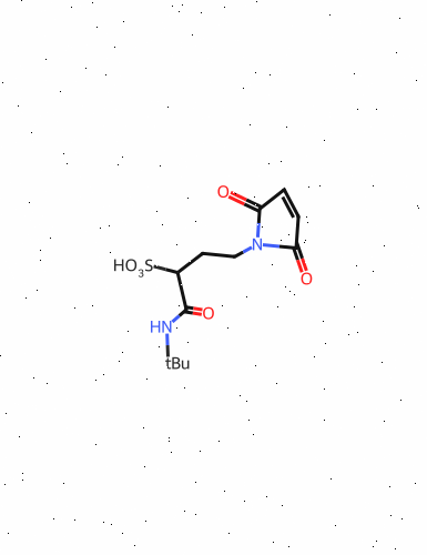 CC(C)(C)NC(=O)C(CCN1C(=O)C=CC1=O)S(=O)(=O)O